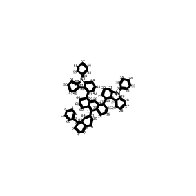 c1ccc(-c2cccc3ccc(-c4c5cccc(-c6cccc7c6c6ccccc6n7-c6ccccc6)c5cc5c(-c6cccc7c6c6ccccc6n7-c6ccccc6)cccc45)cc23)cc1